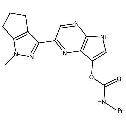 CC(C)NC(=O)Oc1c[nH]c2ncc(-c3nn(C)c4c3CCC4)nc12